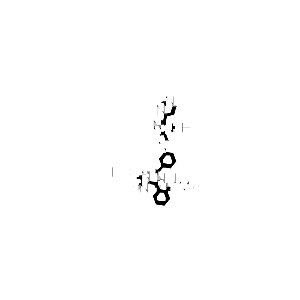 COc1ccccc1[C@H](NC(=O)c1cccc(NCc2nnc(-c3ccncn3)n2C)c1)c1noc(C)n1